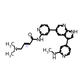 CNc1cc(-c2c[nH]c3ncc(-c4ccnc(NC(=O)/C=C/CN(C)C)c4)cc23)ccn1